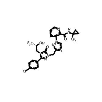 O=C(NC1(C(F)(F)F)CC1)c1ncccc1-n1cnc(Cn2nc(-c3ccc(Cl)cc3)n(C[C@@H](O)C(F)(F)F)c2=O)n1